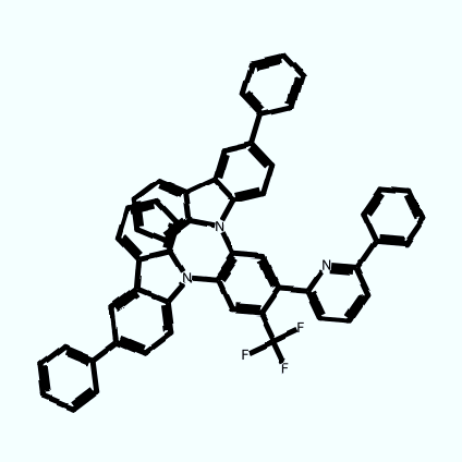 FC(F)(F)c1cc(-n2c3ccccc3c3cc(-c4ccccc4)ccc32)c(-n2c3ccccc3c3cc(-c4ccccc4)ccc32)cc1-c1cccc(-c2ccccc2)n1